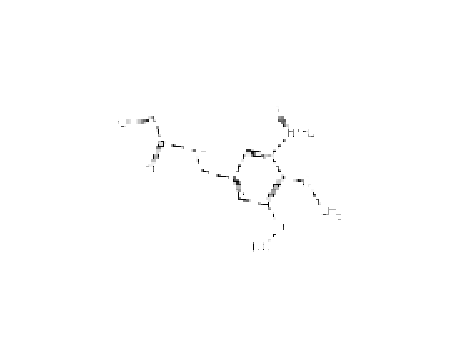 COc1cc(CNC(=O)C=O)cc([N+](=O)[O-])c1OC